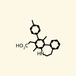 Cc1ccc(-c2c(C)c3c(c(C)c2CC(=O)O)NCCc2ccccc2-3)cc1